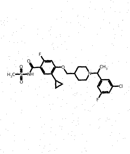 CC(c1cc(F)cc(Cl)c1)N1CCC(COc2cc(F)c(C(=O)NS(C)(=O)=O)cc2C2CC2)CC1